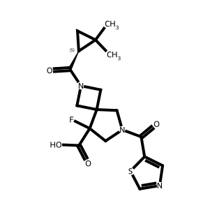 CC1(C)C[C@@H]1C(=O)N1CC2(CN(C(=O)c3cncs3)CC2(F)C(=O)O)C1